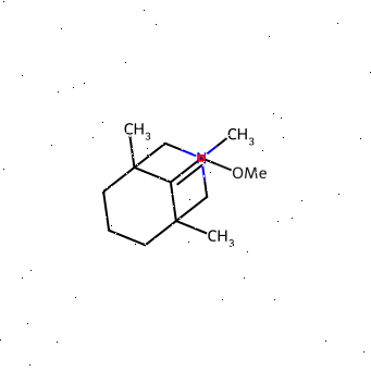 COC=C1C2(C)CCCC1(C)CN(C)C2